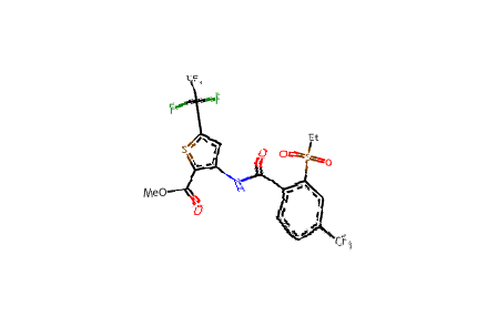 CCS(=O)(=O)c1cc(C(F)(F)F)ccc1C(=O)Nc1cc(C(F)(F)C(F)(F)F)sc1C(=O)OC